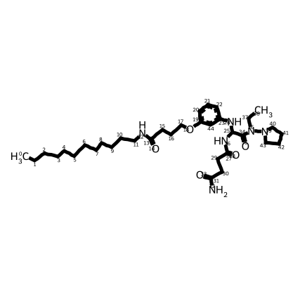 CCCCCCCCCCCCNC(=O)CCCOc1cccc(NC(NC(=O)CCC(N)=O)C(=O)N(CC)N2CCCC2)c1